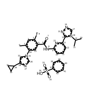 Cc1cc(F)c(C(=O)Nc2cccc(-c3nncn3C(C)C)n2)cc1-n1cnc(C2CC2)c1.O=S(=O)(O)c1ccccc1